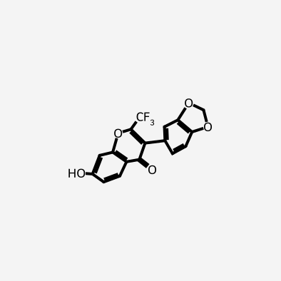 O=c1c(-c2ccc3c(c2)OCO3)c(C(F)(F)F)oc2cc(O)ccc12